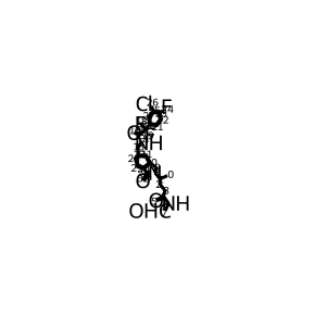 CC(CCC(=O)NC=O)N1Cc2cc(CNC(=O)C(F)(F)c3ccc(F)c(Cl)c3)ccc2C1=O